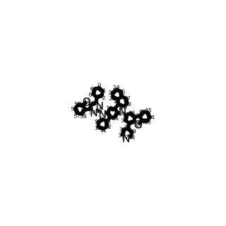 c1ccc(-c2nc(-n3c4ccccc4c4cc5c(cc43)c3c4ccccc4ccc3n5-c3cc(-c4ccncc4)c4oc5ccccc5c4c3)nc3c2oc2ccccc23)cc1